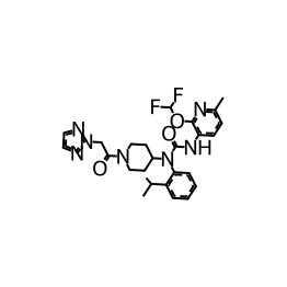 Cc1ccc(NC(=O)N(c2ccccc2C(C)C)C2CCN(C(=O)Cn3nccn3)CC2)c(OC(F)F)n1